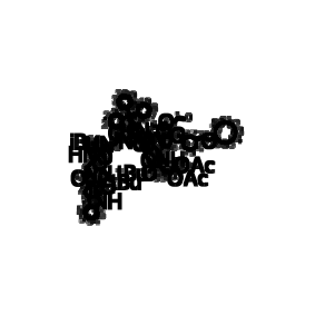 C=CCOC(=O)C[C@H](NC(=O)C(CSC(c1ccccc1)(c1ccccc1)c1ccccc1)NC(=O)CNC(=O)C(NC(=O)CNC(=O)C1CC2c3ccccc3NC2N1C(=O)OC(C)(C)C)C(C)CC)C(=O)N1C[C@H](OC2CCCC(COC3CCCCCCCC3)C2)C[C@H]1C(=O)NC(C(=O)OC(C)(C)C)[C@@H](C)[C@H](COC(C)=O)OC(C)=O